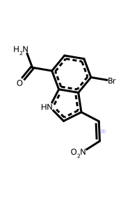 NC(=O)c1ccc(Br)c2c(/C=C\[N+](=O)[O-])c[nH]c12